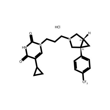 Cl.O=c1[nH]c(=O)n(CCCN2C[C@@H]3C[C@]3(c3ccc(C(F)(F)F)cc3)C2)cc1C1CC1